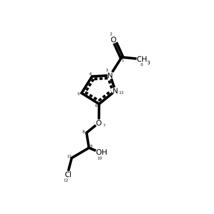 CC(=O)n1ccc(OCC(O)CCl)n1